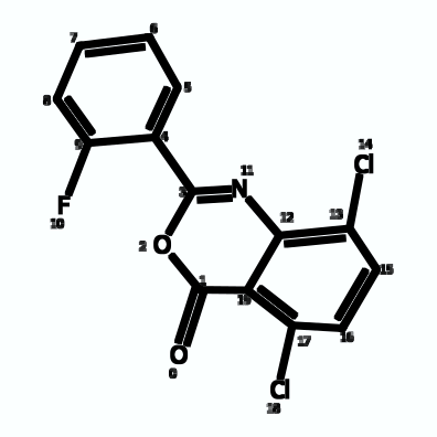 O=c1oc(-c2ccccc2F)nc2c(Cl)ccc(Cl)c12